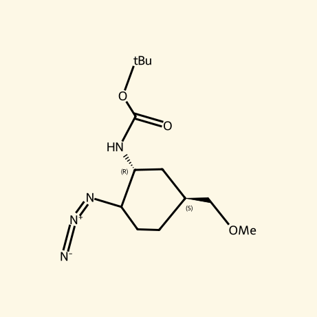 COC[C@H]1CCC(N=[N+]=[N-])[C@H](NC(=O)OC(C)(C)C)C1